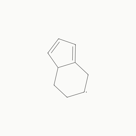 [CH]1CCC2C=CC=C2C1